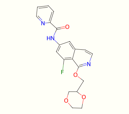 O=C(Nc1cc(F)c2c(OCC3COCCO3)nccc2c1)c1ccccn1